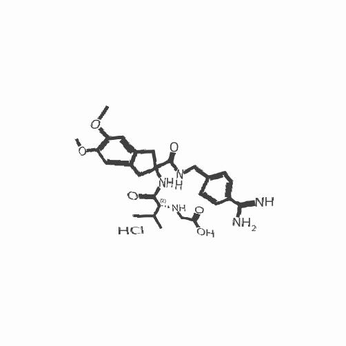 COc1cc2c(cc1OC)CC(NC(=O)[C@H](NCC(=O)O)C(C)C)(C(=O)NCc1ccc(C(=N)N)cc1)C2.Cl